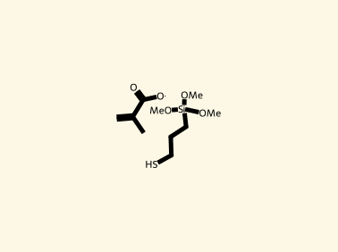 C=C(C)C([O])=O.CO[Si](CCCS)(OC)OC